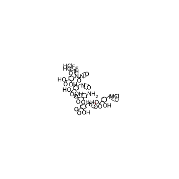 COC(=O)c1ccc(CN2CCOCC2)cc1O.COC(=O)c1ccc(N)cc1O.Cl.Cl.O=C(O)C(F)(F)F.O=C(O)c1ccc(CN2CCOCC2)cc1O.O=C(O)c1ccc(CN2CCOCC2)cc1O.O=C(O)c1ccc(NC(=O)N2CCOCC2)cc1O